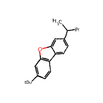 CC(C)C(C)c1ccc2c(c1)oc1cc(C(C)(C)C)ccc12